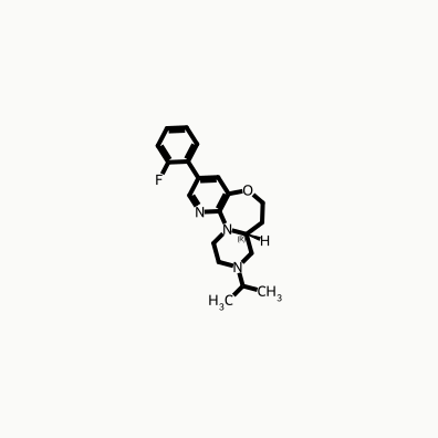 CC(C)N1CCN2c3ncc(-c4ccccc4F)cc3OCC[C@@H]2C1